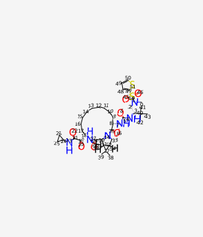 CN(C[C@@H](NC(=O)N[C@H]1CCCCCCCCC[C@@H](C(=O)C(=O)NC2CC2)NC(=O)[C@@H]2[C@@H]3[C@H](CN2C1=O)C3(C)C)C(C)(C)C)S(=O)(=O)c1cccs1